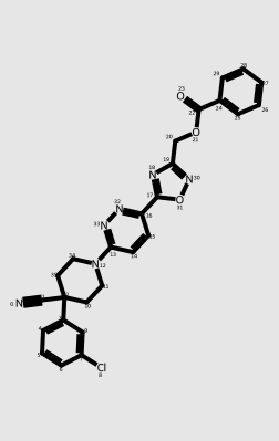 N#CC1(c2cccc(Cl)c2)CCN(c2ccc(-c3nc(COC(=O)c4ccccc4)no3)nn2)CC1